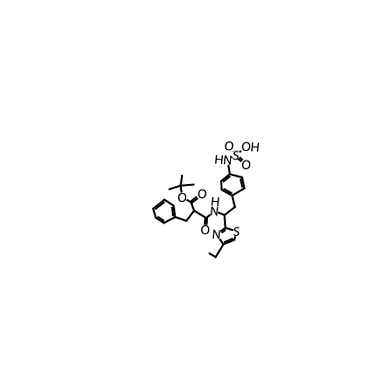 CCc1csc(C(Cc2ccc(NS(=O)(=O)O)cc2)NC(=O)C(Cc2ccccc2)C(=O)OC(C)(C)C)n1